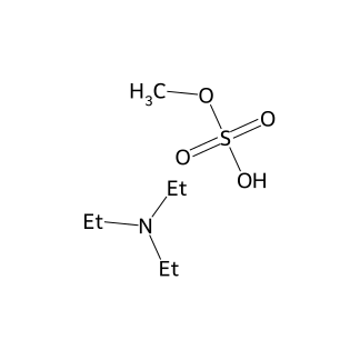 CCN(CC)CC.COS(=O)(=O)O